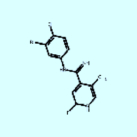 CC1=CNC(F)C=C1C(=N)Nc1ccc(Cl)c(Br)c1